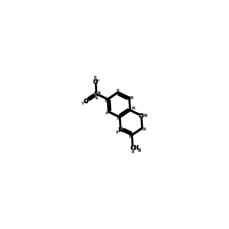 CC1=Nc2cc([N+](=O)[O-])ccc2OC1